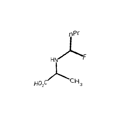 CCCC(F)NC(C)C(=O)O